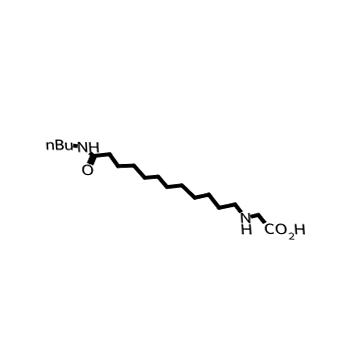 CCCCNC(=O)CCCCCCCCCCCNCC(=O)O